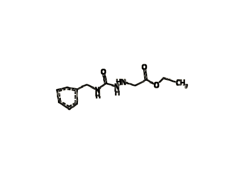 CCOC(=O)CNNC(=O)NCc1ccccc1